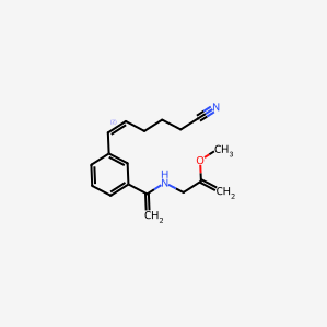 C=C(CNC(=C)c1cccc(/C=C\CCCC#N)c1)OC